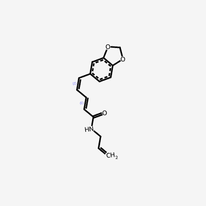 C=CCNC(=O)/C=C/C=C\c1ccc2c(c1)OCO2